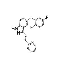 Fc1ccc(F)c(Cc2ccc3[nH]nc(/C=C/c4ccccn4)c3c2)c1